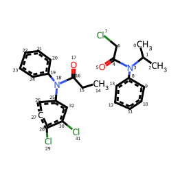 CC(C)N(C(=O)CCl)c1ccccc1.CCC(=O)N(c1ccccc1)c1ccc(Cl)c(Cl)c1